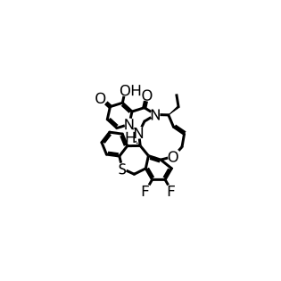 CC[C@H]1/C=C/COc2cc(F)c(F)c3c2[C@@H](c2ccccc2SC3)N2CN1C(=O)c1c(O)c(=O)ccn12